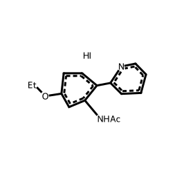 CCOc1ccc(-c2ccccn2)c(NC(C)=O)c1.I